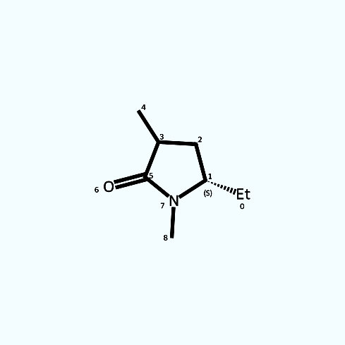 CC[C@H]1CC(C)C(=O)N1C